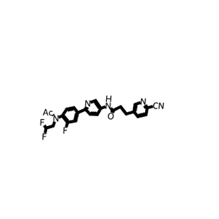 CC(=O)N(CC(F)F)c1ccc(-c2ccc(NC(=O)CCc3ccc(C#N)nc3)cn2)cc1F